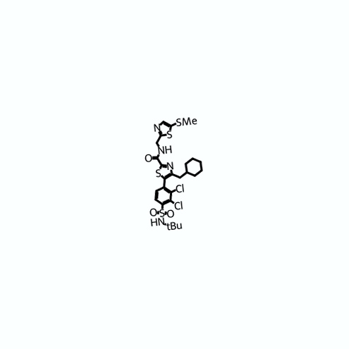 CSc1cnc(CNC(=O)c2nc(CC3CCCCC3)c(-c3ccc(S(=O)(=O)NC(C)(C)C)c(Cl)c3Cl)s2)s1